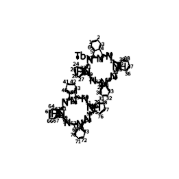 [Tb].c1ccc2c(c1)-c1nc-2nc2[nH]c(nc3nc(nc4[nH]c(n1)c1ccccc41)-c1ccccc1-3)c1ccccc21.c1ccc2c(c1)-c1nc-2nc2[nH]c(nc3nc(nc4[nH]c(n1)c1ccccc41)-c1ccccc1-3)c1ccccc21